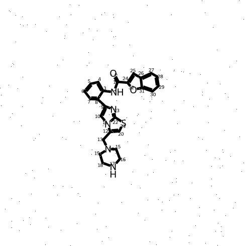 O=C(Nc1ccccc1-c1cn2c(CN3CCNCC3)csc2n1)c1cc2ccccc2o1